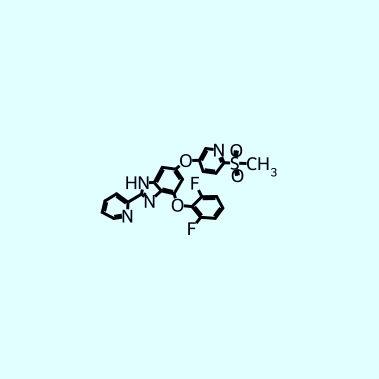 CS(=O)(=O)c1ccc(Oc2cc(Oc3c(F)cccc3F)c3nc(-c4ccccn4)[nH]c3c2)cn1